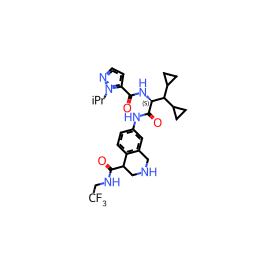 CC(C)n1nccc1C(=O)N[C@H](C(=O)Nc1ccc2c(c1)CNCC2C(=O)NCC(F)(F)F)C(C1CC1)C1CC1